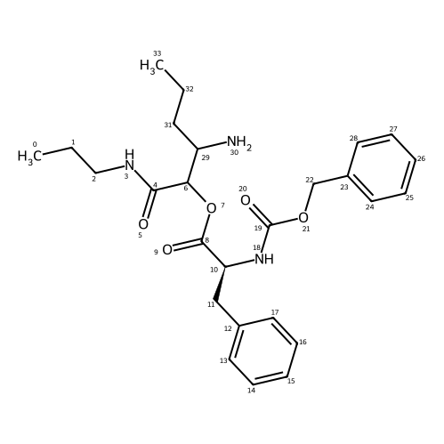 CCCNC(=O)C(OC(=O)[C@H](Cc1ccccc1)NC(=O)OCc1ccccc1)C(N)CCC